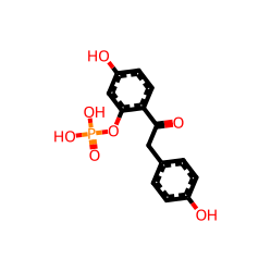 O=C(Cc1ccc(O)cc1)c1ccc(O)cc1OP(=O)(O)O